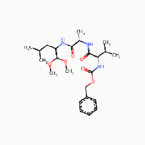 COC(OC)C(CC(C)C)NC(=O)[C@H](C)NC(=O)[C@@H](NC(=O)OCc1ccccc1)C(C)C